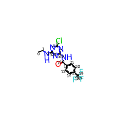 CCNc1nc(Cl)nc(NC(=O)c2ccc(C(F)(F)F)cc2)n1